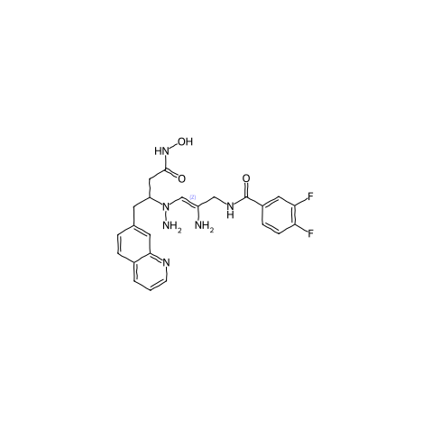 N/C(=C\N(N)C(CC(=O)NO)Cc1ccc2cccnc2c1)CNC(=O)c1ccc(F)c(F)c1